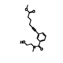 COC(=O)CCCC#Cc1cccc(C(=O)N(C)CCO)c1